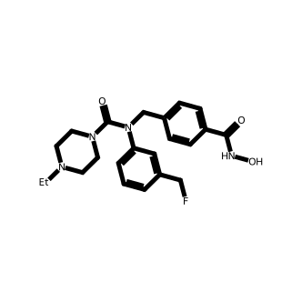 CCN1CCN(C(=O)N(Cc2ccc(C(=O)NO)cc2)c2cccc(CF)c2)CC1